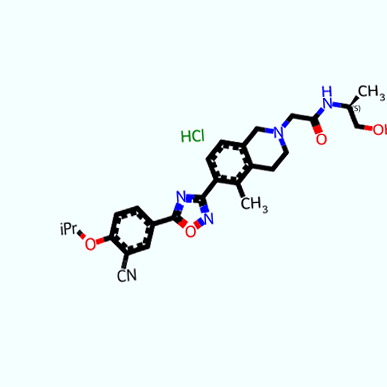 Cc1c(-c2noc(-c3ccc(OC(C)C)c(C#N)c3)n2)ccc2c1CCN(CC(=O)N[C@@H](C)CO)C2.Cl